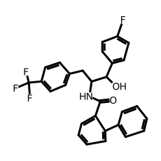 O=C(NC(Cc1ccc(C(F)(F)F)cc1)C(O)c1ccc(F)cc1)c1ccccc1-c1ccccc1